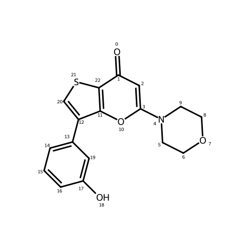 O=c1cc(N2CCOCC2)oc2c(-c3cccc(O)c3)csc12